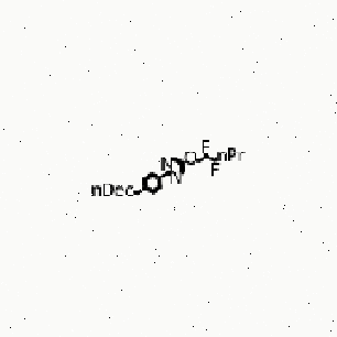 CCCCCCCCCCCc1ccc(-c2ncc(OCC(F)C(F)CCC)cn2)cc1